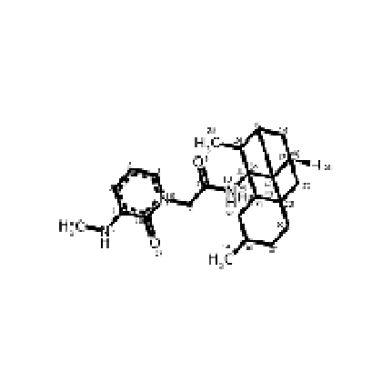 CNc1cccn(CC(=O)N[C@@]23C[C@@H]4CC(C5CC(C)C[C@@H]2C5C4)C3C)c1=O